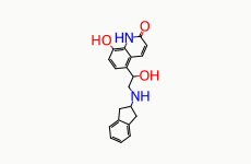 O=c1ccc2c(C(O)CNC3Cc4ccccc4C3)ccc(O)c2[nH]1